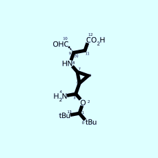 CC(C)(C)C(OC(N)C1CC1N[C@H](C=O)CC(=O)O)C(C)(C)C